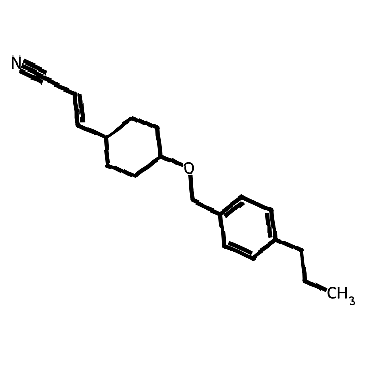 CCCc1ccc(COC2CCC(C=CC#N)CC2)cc1